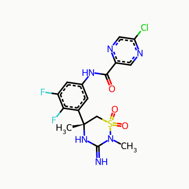 CN1C(=N)N[C@](C)(c2cc(NC(=O)c3cnc(Cl)cn3)cc(F)c2F)CS1(=O)=O